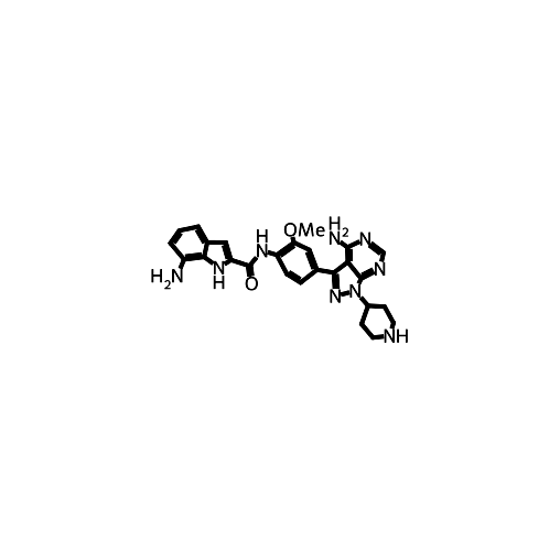 COc1cc(-c2nn(C3CCNCC3)c3ncnc(N)c23)ccc1NC(=O)c1cc2cccc(N)c2[nH]1